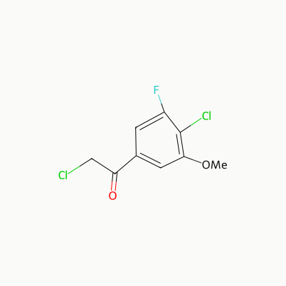 COc1cc(C(=O)CCl)cc(F)c1Cl